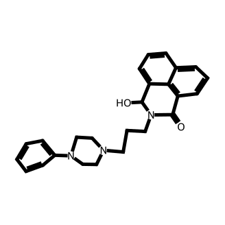 O=C1c2cccc3cccc(c23)C(O)N1CCCN1CCN(c2ccccc2)CC1